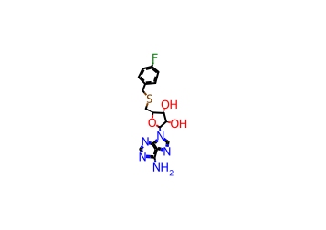 Nc1ncnc2c1ncn2[C@H]1O[C@@H](CSCc2ccc(F)cc2)[C@H](O)[C@H]1O